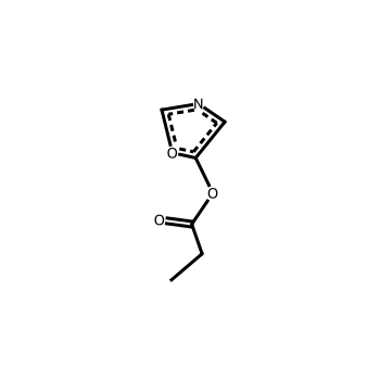 CCC(=O)Oc1cnco1